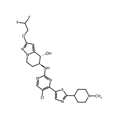 CN1CCC(c2ncc(-c3nc(N[C@H]4CCn5nc(OCC(F)F)cc5[C@@H]4O)ncc3Cl)s2)CC1